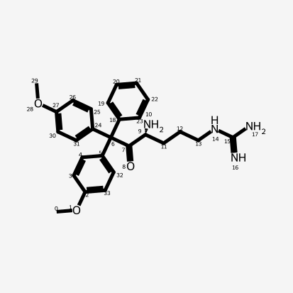 COc1ccc(C(C(=O)[C@H](N)CCCNC(=N)N)(c2ccccc2)c2ccc(OC)cc2)cc1